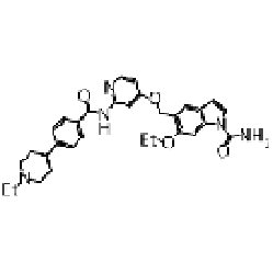 CCOc1cc2c(ccn2C(N)=O)cc1COc1ccnc(NC(=O)c2ccc(C3CCN(CC)CC3)cc2)c1